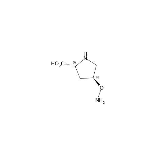 NO[C@@H]1CN[C@@H](C(=O)O)C1